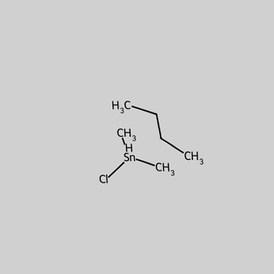 CCCC.[CH3][SnH]([CH3])[Cl]